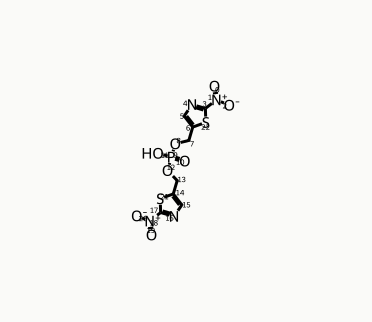 O=[N+]([O-])c1ncc(COP(=O)(O)OCc2cnc([N+](=O)[O-])s2)s1